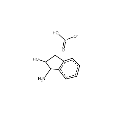 NC1c2ccccc2CC1O.O=[N+]([O-])O